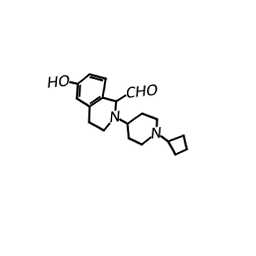 O=CC1c2ccc(O)cc2CCN1C1CCN(C2CCC2)CC1